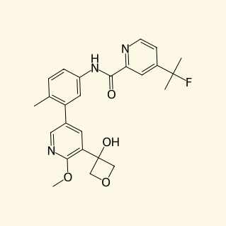 COc1ncc(-c2cc(NC(=O)c3cc(C(C)(C)F)ccn3)ccc2C)cc1C1(O)COC1